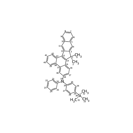 CC1(C)c2cc3ccccc3cc2-c2c1c1ccc(N(c3ccccc3)c3ccc([Si](C)(C)C)cc3)cc1c1ccccc21